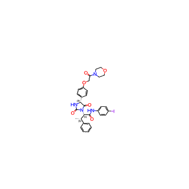 C[C@@H](c1ccccc1)[C@@H](C(=O)Nc1ccc(I)cc1)N1C(=O)N[C@H](c2ccc(OCC(=O)N3CCOCC3)cc2)C1=O